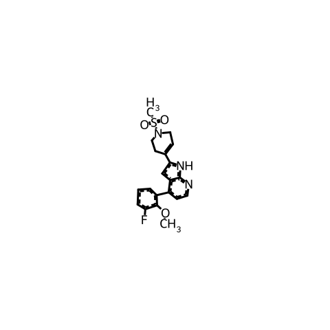 COc1c(F)cccc1-c1ccnc2[nH]c(C3=CCN(S(C)(=O)=O)CC3)cc12